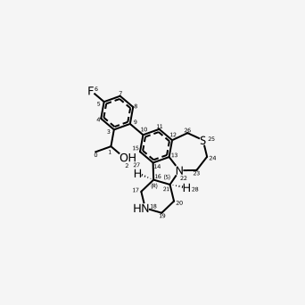 CC(O)c1cc(F)ccc1-c1cc2c3c(c1)[C@@H]1CNCC[C@@H]1N3CCSC2